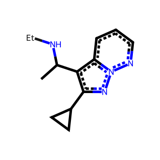 CCNC(C)c1c(C2CC2)nn2ncccc12